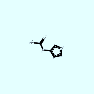 CCCC(=O)[N]c1ccoc1